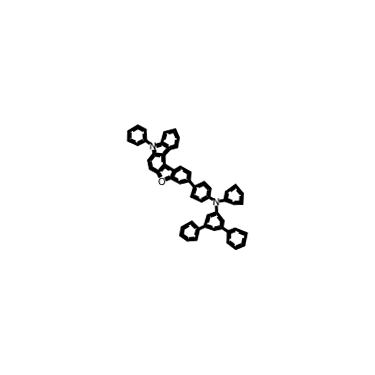 c1ccc(-c2cc(-c3ccccc3)cc(N(c3ccccc3)c3ccc(-c4ccc5c(c4)oc4ccc6c(c7ccccc7n6-c6ccccc6)c45)cc3)c2)cc1